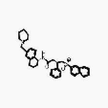 O=C(C[C@@H](CS(=O)(=O)c1ccc2ccccc2c1)c1ccccc1)N[C@@H]1CCCc2cc(CN3CCCCC3)ccc21